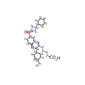 O=C(O)CCCCc1nc2cc(C(=O)N3CC(c4ccccc4)C3)ccc2nc1-c1ccc(CF)cc1